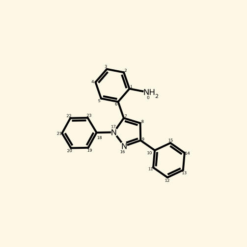 Nc1ccccc1-c1cc(-c2ccccc2)nn1-c1ccccc1